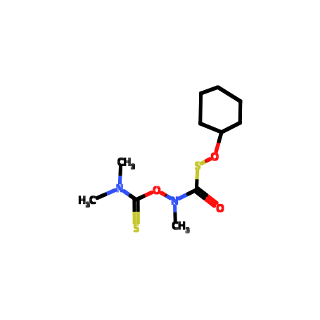 CN(C)C(=S)ON(C)C(=O)SOC1CCCCC1